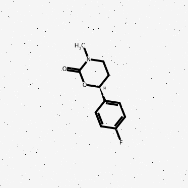 CN1CC[C@@H](c2ccc(F)cc2)OC1=O